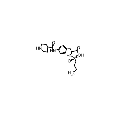 CCCCS(=O)(=O)N[C@@H](Cc1ccc(NC(=O)C2CCNCC2)cc1)C(=O)O